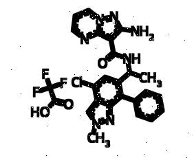 CC(NC(=O)c1c(N)nn2cccnc12)c1cc(Cl)c2cn(C)nc2c1-c1ccccc1.O=C(O)C(F)(F)F